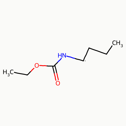 CCC[CH]NC(=O)OCC